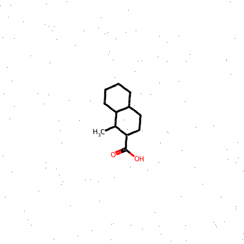 CC1C(C(=O)O)CCC2CCCCC21